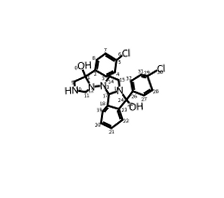 OC1(c2ccc(Cl)cc2)CNCN1N1CCN2C1c1ccccc1C2(O)c1ccc(Cl)cc1